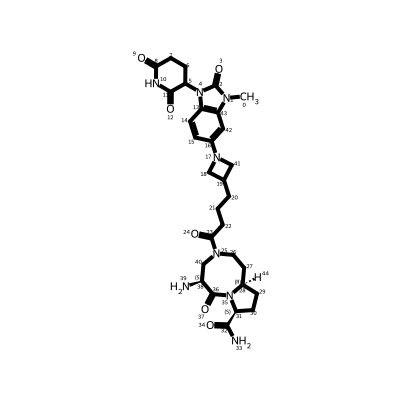 Cn1c(=O)n(C2CCC(=O)NC2=O)c2ccc(N3CC(CCCC(=O)N4CC[C@H]5CC[C@@H](C(N)=O)N5C(=O)[C@@H](N)C4)C3)cc21